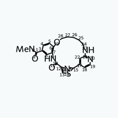 CNC(=O)c1ccc2c(c1)NC(=O)c1csc(n1)-c1ccnc(c1)NCCCCCO2